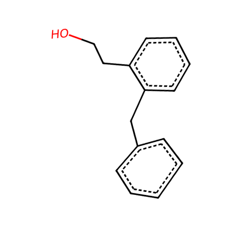 OCCc1ccccc1Cc1ccccc1